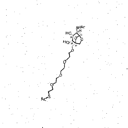 CC(=O)N[C@H]1[C@H]2OC[C@](COCCOCCOCCOCCSC(C)=O)(O2)[C@H](O)[C@@H]1O